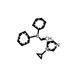 C=CB(c1ccccc1)c1ccccc1.c1cn(C2CC2)cn1